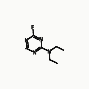 CCN(CC)c1n[c]nc(F)n1